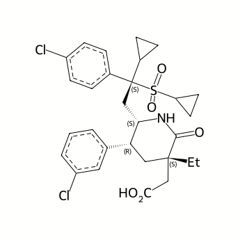 CC[C@@]1(CC(=O)O)C[C@H](c2cccc(Cl)c2)[C@H](C[C@@](c2ccc(Cl)cc2)(C2CC2)S(=O)(=O)C2CC2)NC1=O